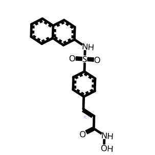 O=C(/C=C/c1ccc(S(=O)(=O)Nc2ccc3ccccc3c2)cc1)NO